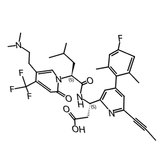 CC#Cc1cc(-c2c(C)cc(F)cc2C)cc([C@H](CC(=O)O)NC(=O)[C@H](CC(C)C)n2cc(CCN(C)C)c(C(F)(F)F)cc2=O)n1